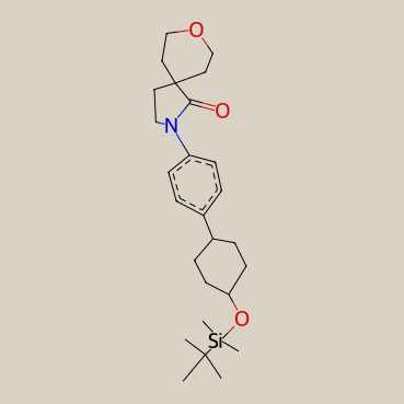 CC(C)(C)[Si](C)(C)OC1CCC(c2ccc(N3CCC4(CCOCC4)C3=O)cc2)CC1